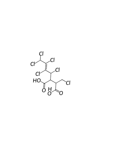 O=C(O)C(CCl)C(C(=O)O)C(Cl)C(Cl)=C(Cl)C(Cl)Cl